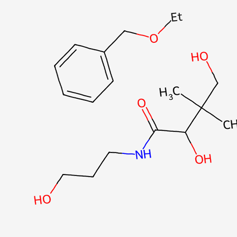 CC(C)(CO)C(O)C(=O)NCCCO.CCOCc1ccccc1